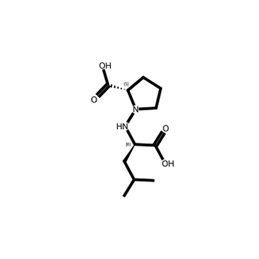 CC(C)C[C@@H](NN1CCC[C@H]1C(=O)O)C(=O)O